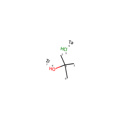 CC(C)(C)O.Cl.[Ta].[Zr]